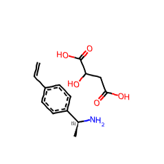 C=Cc1ccc([C@H](C)N)cc1.O=C(O)CC(O)C(=O)O